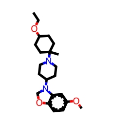 CCOC1CCC(C)(N2CCC(N3COc4ccc(OC)cc43)CC2)CC1